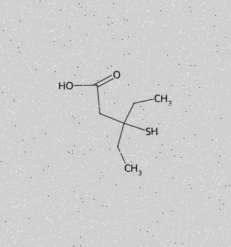 CCC(S)(CC)CC(=O)O